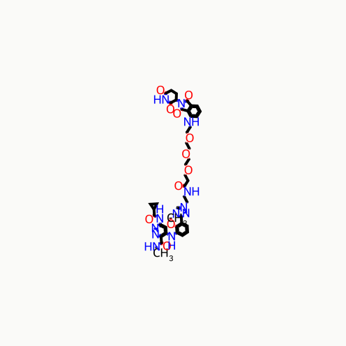 CNC(=O)c1nnc(NC(=O)C2CC2)cc1Nc1cccc(-c2ncn(CCNC(=O)CCOCCOCCOCCNc3cccc4c3C(=O)N(C3CCC(=O)NC3=O)C4=O)n2)c1OC